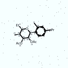 CC[C@H]1O[C@@H](c2ccc(C(C)C)cc2C)[C@@H](OC(C)=O)[C@@H](OC(C)=O)[C@H]1C